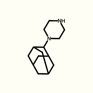 C1CN(C2C3CC4CC(C3)CC2C4)CCN1